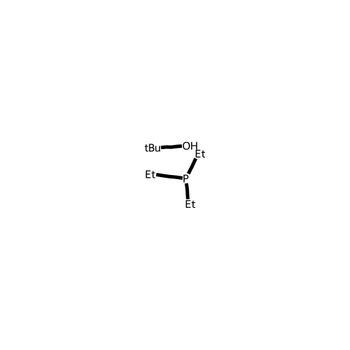 CC(C)(C)O.CCP(CC)CC